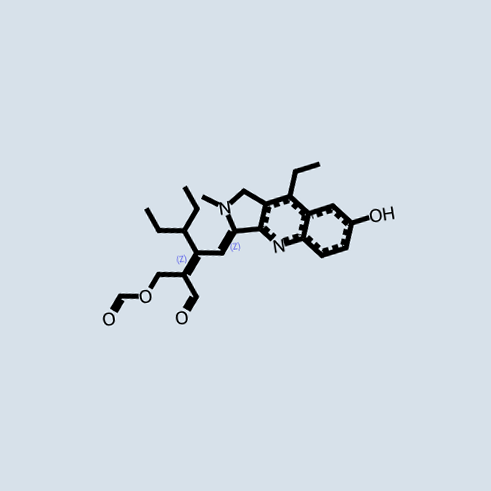 CCc1c2c(nc3ccc(O)cc13)/C(=C/C(=C(\C=O)COC=O)C(CC)CC)N(C)C2